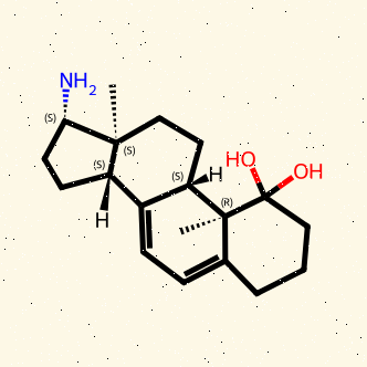 C[C@]12CC[C@H]3C(=CC=C4CCCC(O)(O)[C@@]43C)[C@@H]1CC[C@@H]2N